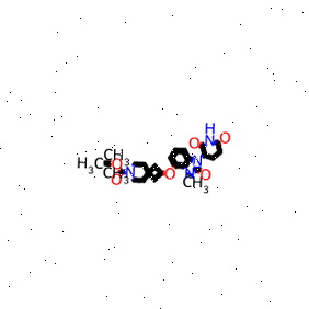 Cn1c(=O)n(C2CCC(=O)NC2=O)c2cccc(OC3CC4(CCN(C(=O)OC(C)(C)C)CC4)C3)c21